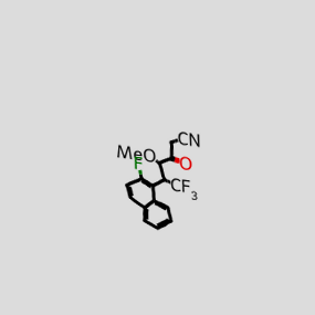 COC(C(=O)CC#N)C(c1c(F)ccc2ccccc12)C(F)(F)F